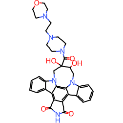 O=C1NC(=O)c2c1c1c3ccccc3n3c1c1c2c2ccccc2n1CC(O)(C(=O)N1CCN(CCN2CCOCC2)CC1)C(O)C3